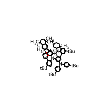 CC(C)(C)c1ccc(N(c2ccc(C(C)(C)C)cc2)c2cc3c4c(c2)N(c2ccc(C(C)(C)C)cc2-c2ccccc2)c2cc5oc6cc7c(cc6c5cc2B4N2c4c-3cc(C(C)(C)C)cc4C3(C)CCCCC23C)C(C)(C)CCC7(C)C)cc1